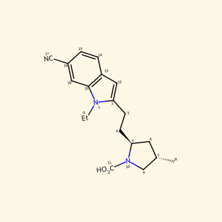 CCn1c(CC[C@H]2C[C@H](C)CN2C(=O)O)cc2ccc(C#N)cc21